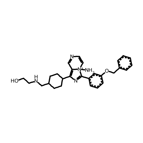 N[N+]12C=CN=CC1=C(C1CCC(CNCCO)CC1)N=C2c1cccc(OCc2ccccc2)c1